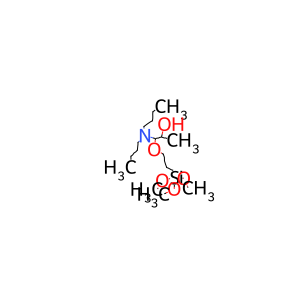 CCCCN(CCCC)C(OCCC[Si](OC)(OC)OC)C(C)O